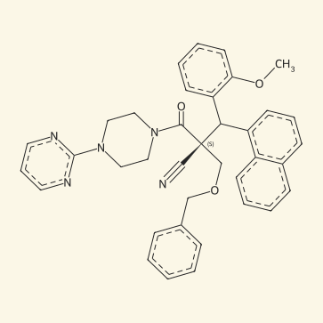 COc1ccccc1C(c1cccc2ccccc12)[C@](C#N)(COCc1ccccc1)C(=O)N1CCN(c2ncccn2)CC1